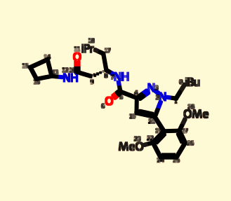 CCC(C)Cn1nc(C(=O)N[C@H](CC(=O)NC2CCC2)CC(C)C)cc1-c1c(OC)cccc1OC